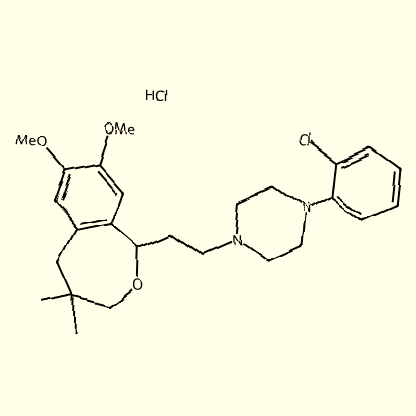 COc1cc2c(cc1OC)C(CCN1CCN(c3ccccc3Cl)CC1)OCC(C)(C)C2.Cl